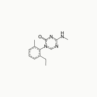 CCc1cccc(C)c1-n1cnc(NC)nc1=O